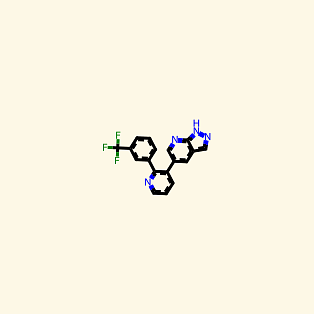 FC(F)(F)c1cccc(-c2ncccc2-c2cnc3[nH]ncc3c2)c1